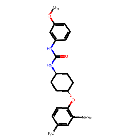 CC(=O)Nc1cc(C(F)(F)F)ccc1O[C@H]1CC[C@H](NC(=O)Nc2cccc(OC(F)(F)F)c2)CC1